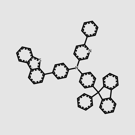 c1ccc(-c2ccc(N(c3ccc(-c4cccc5c4sc4ccccc45)cc3)c3ccc(C4(c5ccccc5)c5ccccc5-c5ccccc54)cc3)cn2)cc1